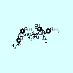 COc1ccc(CN(Cc2ccc(OC)cc2)C(=O)OCOCOCCC(CCOC(OCOC=O)N(Cc2ccc(OC)cc2)Cc2ccc(OC)cc2)N(C)C)cc1